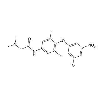 Cc1cc(NC(=O)CN(C)C)cc(C)c1Oc1cc(Br)cc([N+](=O)[O-])c1